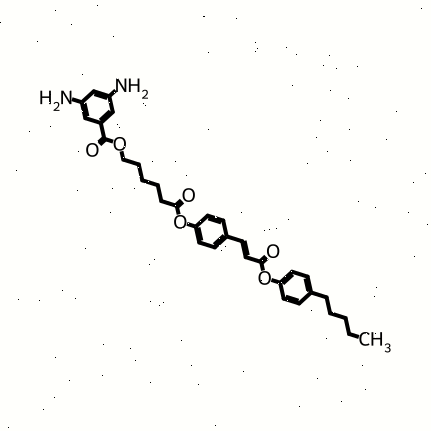 CCCCCc1ccc(OC(=O)C=Cc2ccc(OC(=O)CCCCCOC(=O)c3cc(N)cc(N)c3)cc2)cc1